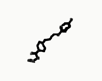 CC(C)(C)OC(=O)N1CCN(CCCOc2ccc(Br)cn2)CC1